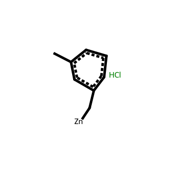 Cc1cccc([CH2][Zn])c1.Cl